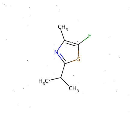 Cc1nc(C(C)C)sc1F